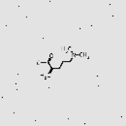 C=C(CCCN(C)C)C(=O)Cl